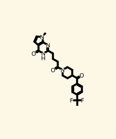 Cn1ccc2c(=O)[nH]c(CCCC(=O)N3CCC(C(=O)c4ccc(C(C)(F)F)cc4)CC3)nc21